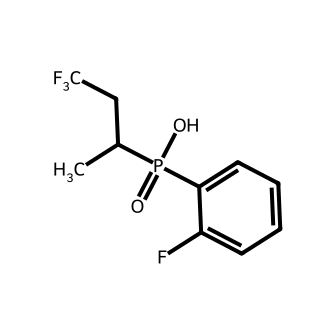 CC(CC(F)(F)F)P(=O)(O)c1ccccc1F